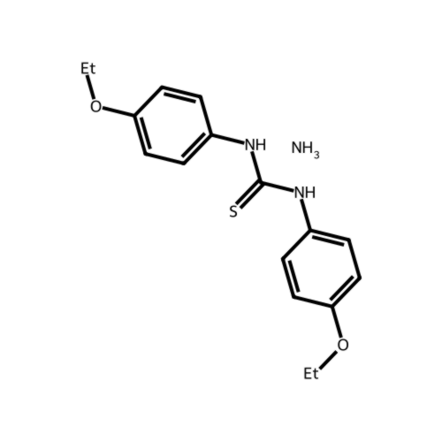 CCOc1ccc(NC(=S)Nc2ccc(OCC)cc2)cc1.N